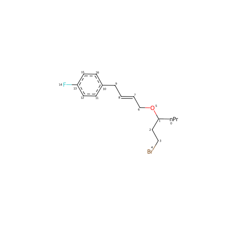 CCCC(CCBr)OC/C=C/Cc1ccc(F)cc1